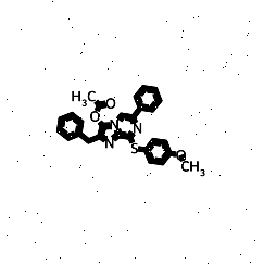 COc1ccc(Sc2nc(-c3ccccc3)cn3c(OC(C)=O)c(Cc4ccccc4)nc23)cc1